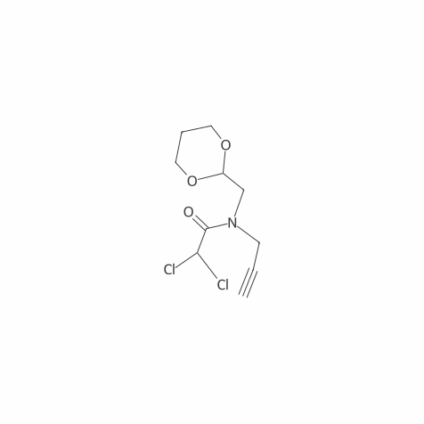 C#CCN(CC1OCCCO1)C(=O)C(Cl)Cl